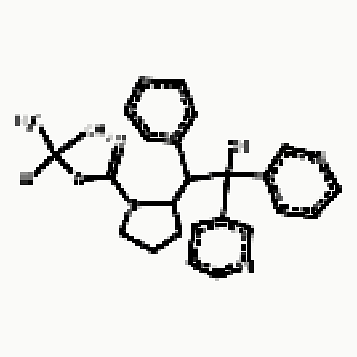 CCC(C)(C)OC(=O)N1CCCC1C(c1ccccc1)C(O)(c1cccnc1)c1cccnc1